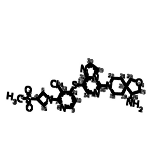 CS(=O)(=O)C1CN(c2nccc(Sc3cnc(N4CCC5(CC4)COC[C@H]5N)n4ccnc34)c2Cl)C1